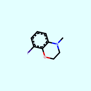 CN1CCOc2c(I)cccc21